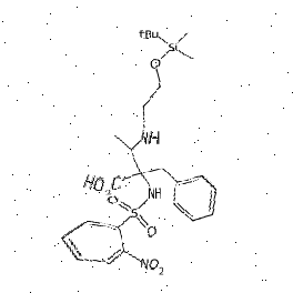 CC(NCCO[Si](C)(C)C(C)(C)C)C(Cc1ccccc1)(NS(=O)(=O)c1ccccc1[N+](=O)[O-])C(=O)O